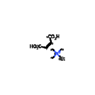 CC[N+](C)(C)C.O=C(O)/C=C\C(=O)O